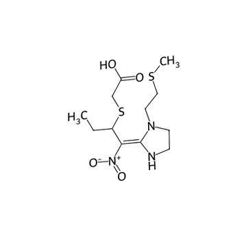 CCC(SCC(=O)O)C(=C1NCCN1CCSC)[N+](=O)[O-]